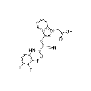 N#C/C(=C\c1cn(CC(=O)O)c2ccccc12)C(=O)Nc1ccc(F)c(F)c1F